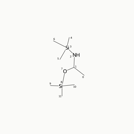 CC(N[Si](C)(C)C)O[Si](C)(C)C